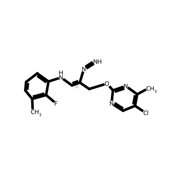 Cc1cccc(N/C=C(/COc2ncc(Cl)c(C)n2)N=N)c1F